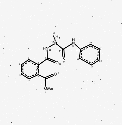 COC(=O)c1ccccc1C(=O)NN(C)C(=S)Nc1ccccc1